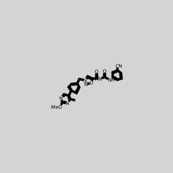 COc1ncc(-c2ccc(C[n+]3cc(C(=O)NC(=O)Nc4cccc(C#N)c4)on3)cc2)c(C)n1